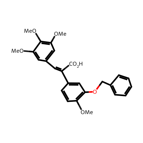 COc1ccc(C(=Cc2cc(OC)c(OC)c(OC)c2)C(=O)O)cc1OCc1ccccc1